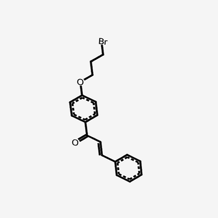 O=C(C=Cc1ccccc1)c1ccc(OCCCBr)cc1